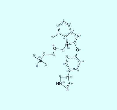 Cc1cccc2nc(Oc3ccc(N4C=CNC4)cc3)n(COCC[Si](C)(C)C)c12